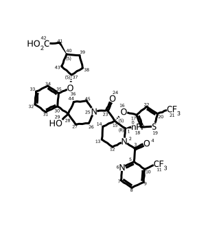 CCC[C@H]1N(C(=O)c2ncccc2C(F)(F)F)CCC[C@@]1(Oc1csc(C(F)(F)F)c1)C(=O)N1CCC(O)(c2ccccc2O[C@H]2CC[C@H](CC(=O)O)C2)CC1